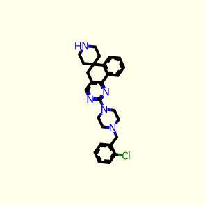 Clc1ccccc1CN1CCN(c2ncc3c(n2)-c2ccccc2C2(CCNCC2)C3)CC1